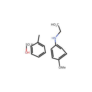 COc1ccc(NCC(=O)O)cc1.Cc1ccccc1.O=S(=O)(O)O